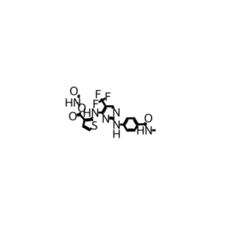 CNC(=O)c1ccc(Nc2ncc(C(F)(F)F)c(Nc3sccc3C(=O)ONC=O)n2)cc1